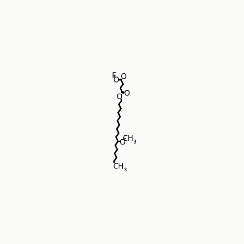 CCCCCCC(CCCCCCCCCCOC(=O)CCC(=O)OF)OC